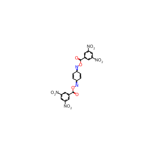 O=C(ON=C1C=CC(=NOC(=O)c2cc([N+](=O)[O-])cc([N+](=O)[O-])c2)C=C1)c1cc([N+](=O)[O-])cc([N+](=O)[O-])c1